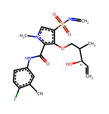 C=C[C@@H](O)C(C)COc1c(S(=O)(=O)N=C)cn(C)c1C(=O)Nc1ccc(F)c(C#N)c1